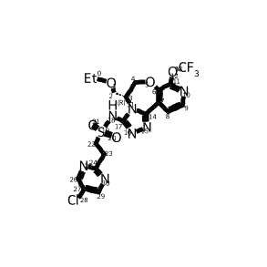 CCOC[C@@H]1COc2c(ccnc2OC(F)(F)F)-c2nnc(NS(=O)(=O)CCc3ncc(Cl)cn3)n21